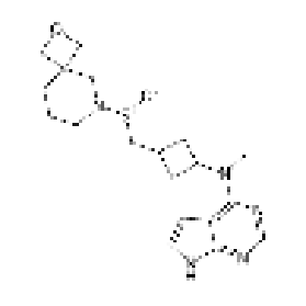 CN(c1ncnc2[nH]ccc12)C1CC(C[S+]([O-])N2CCCC3(COC3)C2)C1